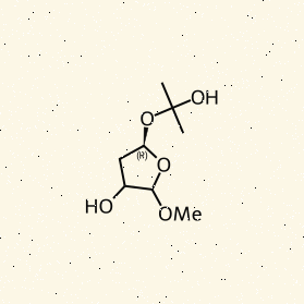 COC1O[C@H](OC(C)(C)O)CC1O